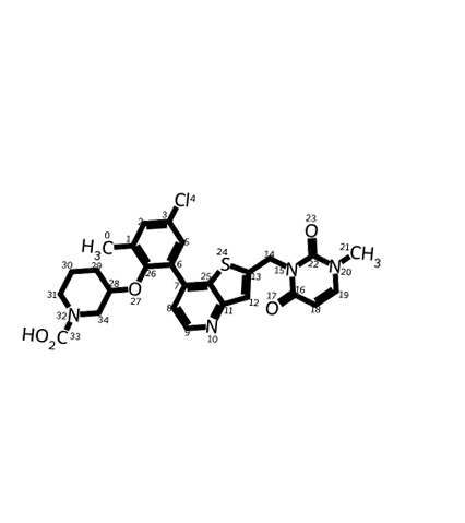 Cc1cc(Cl)cc(-c2ccnc3cc(Cn4c(=O)ccn(C)c4=O)sc23)c1OC1CCCN(C(=O)O)C1